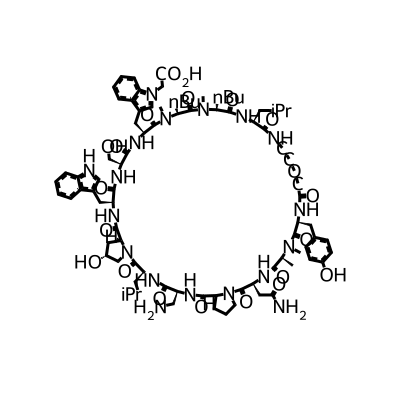 CCCC[C@H]1C(=O)N(C)[C@@H](CCCC)C(=O)N[C@@H](CC(C)C)C(=O)NCCOCC(=O)N[C@@H](Cc2ccc(O)cc2)C(=O)N(C)[C@@H](C)C(=O)N[C@@H](CC(N)=O)C(=O)N2CCC[C@H]2C(=O)N[C@@H](CN)C(=O)N[C@@H](CC(C)C)C(=O)N2C[C@H](O)C[C@H]2C(=O)N[C@@H](Cc2c[nH]c3ccccc23)C(=O)N[C@@H](CO)C(=O)N[C@@H](Cc2cn(CC(=O)O)c3ccccc23)C(=O)N1C